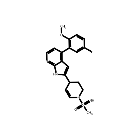 COc1ccc(F)cc1-c1ccnc2[nH]c(C3C=CN(S(C)(=N)=O)CC3)cc12